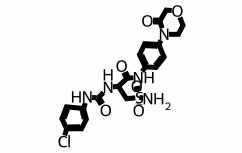 NS(=O)(=O)CC(NC(=O)Nc1ccc(Cl)cc1)C(=O)Nc1ccc(N2CCOCC2=O)cc1